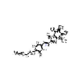 CCn1c(=O)c2c(nc(/C=C/c3ccc(OCCOC)c(F)c3)n2C)n(CC)c1=O